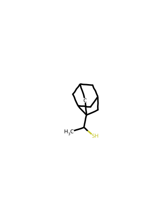 CC(S)C12CC3CC(CC1C3)C2